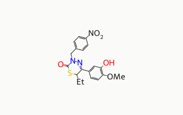 CCC1SC(=O)N(Cc2ccc([N+](=O)[O-])cc2)N=C1c1ccc(OC)c(O)c1